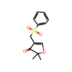 CC1(C)OC=C(CS(=O)(=O)c2ccccc2)C1=O